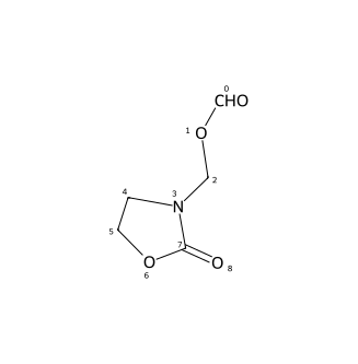 O=COCN1CCOC1=O